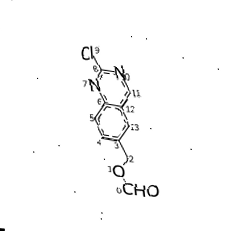 O=COCc1ccc2nc(Cl)ncc2c1